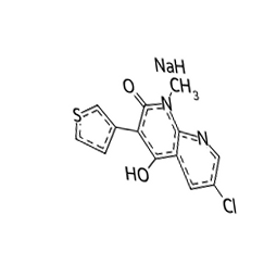 Cn1c(=O)c(-c2ccsc2)c(O)c2cc(Cl)cnc21.[NaH]